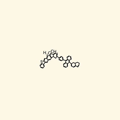 CC1(C)C2=CC=C(c3ccc(-c4c5ccccc5c(C5=CC=C6C=CCCC6C5)c5ccccc45)cc3)CC2c2cc3cc4c(cc3cc21)sc1ccccc14